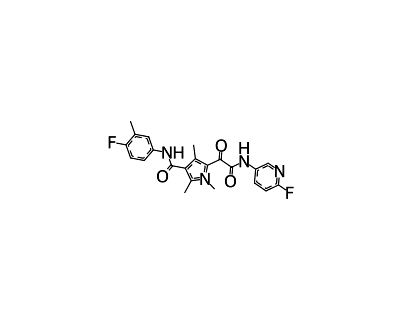 Cc1cc(NC(=O)c2c(C)c(C(=O)C(=O)Nc3ccc(F)nc3)n(C)c2C)ccc1F